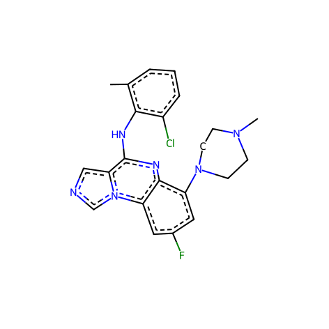 Cc1cccc(Cl)c1Nc1nc2c(N3CCN(C)CC3)cc(F)cc2n2cncc12